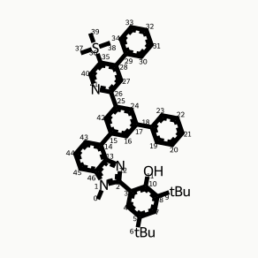 Cn1c(-c2cc(C(C)(C)C)cc(C(C)(C)C)c2O)nc2c(-c3cc(-c4ccccc4)cc(-c4cc(-c5ccccc5)c(S(C)(C)C)cn4)c3)cccc21